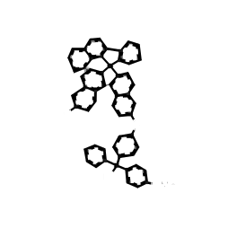 COc1ccc(C(O)(c2ccccc2)c2ccc(Oc3ccc4cc(C5(c6ccc7cc(C)ccc7c6)c6ccccc6-c6ccc7ccccc7c65)ccc4c3)cc2)cc1